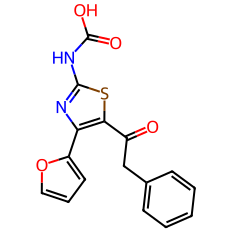 O=C(O)Nc1nc(-c2ccco2)c(C(=O)Cc2ccccc2)s1